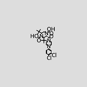 CC(C)(C)C1CN(C(=O)O)[C@@H](C(=O)N2CCN(c3ccc(Cl)c(Cl)c3)CC2)C(C(C)(C)C)N1C(=O)O